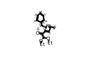 CCOC(OCC)C(=O)c1cc(F)nn1[C@H](C)c1ccccc1